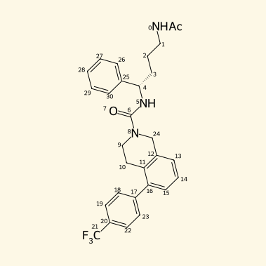 CC(=O)NCCC[C@H](NC(=O)N1CCc2c(cccc2-c2ccc(C(F)(F)F)cc2)C1)c1ccccc1